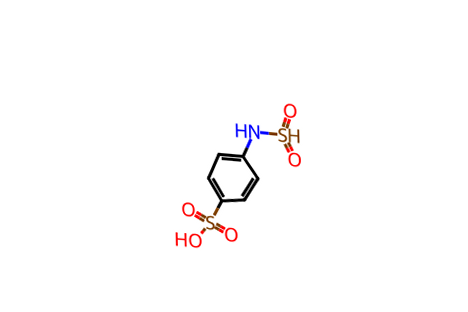 O=[SH](=O)Nc1ccc(S(=O)(=O)O)cc1